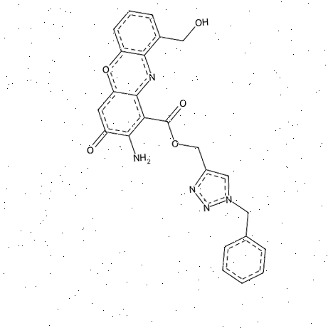 Nc1c(C(=O)OCc2cn(Cc3ccccc3)nn2)c2nc3c(CO)cccc3oc-2cc1=O